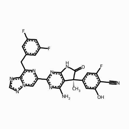 C[C@@]1(c2cc(O)c(C#N)c(F)c2)C(=O)Nc2nc(-c3cn4ncnc4c(Cc4cc(F)cc(F)c4)n3)nc(N)c21